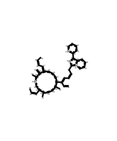 C=C/C(=C\C=C/Cc1nc(-c2ccccn2)c2ccccn12)c1ccc/c(=C/C=C\C)c(=C)c(C)ncc(/C=C\C)c(C)ccc1C